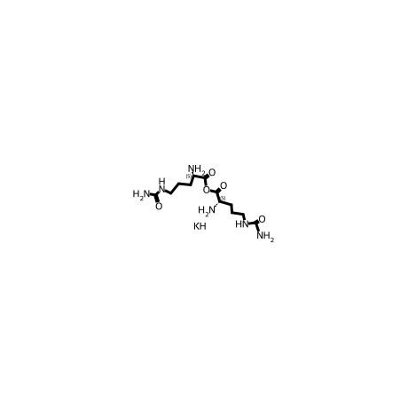 NC(=O)NCCC[C@H](N)C(=O)OC(=O)[C@@H](N)CCCNC(N)=O.[KH]